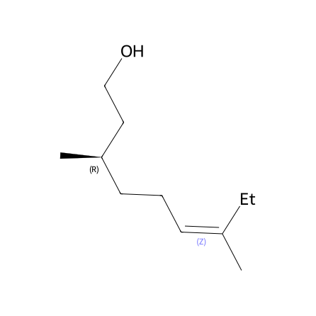 CC/C(C)=C\CC[C@@H](C)CCO